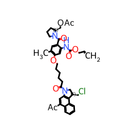 C=CCOC(=O)Nc1cc(OCCCCCC(=O)N2C[C@@H](CCl)c3c2cc(C(C)=O)c2ccccc32)c(C)cc1C(=O)N1CCC[C@H]1COC(C)=O